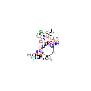 CC(C)Oc1cc2c(Cl)cccc2c(O[C@@H]2C[C@H]3C(=O)N[C@]4(C(=O)NS(=O)(=O)C5(C)CC5)CC4/C=C\CC[C@H](C)C[C@@H](C)[C@H](NC(=O)OC(C)(C)C(F)(F)F)C(=O)N3C2)n1